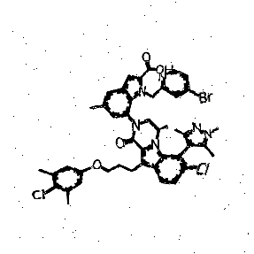 Cc1cc(N2C[C@@H](C)n3c(c(CCCOc4cc(C)c(Cl)c(C)c4)c4ccc(Cl)c(-c5c(C)nn(C)c5C)c43)C2=O)c2c(c1)cc(C(=O)O)n2Cc1cc(Br)ccn1